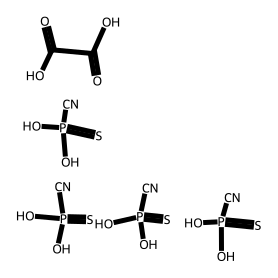 N#CP(O)(O)=S.N#CP(O)(O)=S.N#CP(O)(O)=S.N#CP(O)(O)=S.O=C(O)C(=O)O